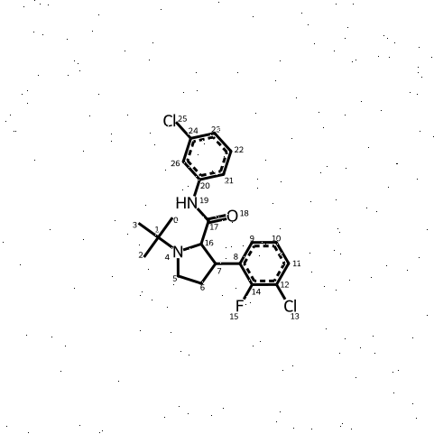 CC(C)(C)N1CCC(c2cccc(Cl)c2F)C1C(=O)Nc1cccc(Cl)c1